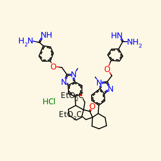 CCOC(=O)CC1(C(=O)C2(CC(=O)OCC)CCCCC2c2ccc3c(c2)nc(COc2ccc(C(=N)N)cc2)n3C)CCCCC1c1ccc2c(c1)nc(COc1ccc(C(=N)N)cc1)n2C.Cl